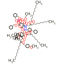 C=CCOC(=O)O[C@@H]1[C@@H](NC(=O)C[C@@H](CCCCCCCCCCC)OC(=O)CCCCCCCCCCC)[C@H](OC[C@H]2O[C@@H](O[Si](C)(C)C(C)(C)C)[C@H](C(=O)C[C@@H](CCCCCCCCCCC)OCc3ccc(OC)cc3)[C@@H](OC(=O)C[C@@H](CCCCCCCCC)OCc3ccccc3)[C@@H]2OCc2ccccc2)O[C@H](COCc2ccccc2)[C@H]1OP1(=O)OCc2ccccc2CO1